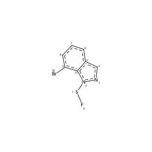 FSn1ncc2cccc(Br)c21